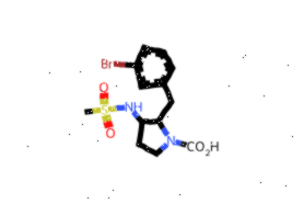 CS(=O)(=O)NC1CCN(C(=O)O)C1Cc1cccc(Br)c1